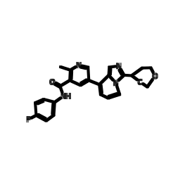 Cc1ncc(-c2cccn3c(C4CCOCC4)ncc23)cc1C(=O)Nc1ccc(F)cc1